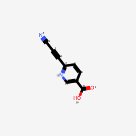 N#CC#Cc1ccc(C(=O)O)cn1